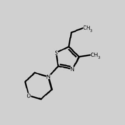 CCc1sc(N2CCOCC2)nc1C